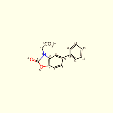 O=C(O)Cn1c(=O)oc2ccc(-c3ccccc3)cc21